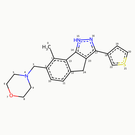 Cc1c(CN2CCOCC2)ccc2c1-c1[nH]nc(-c3ccsc3)c1C2